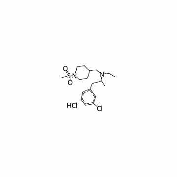 CCN(CC1CCN(S(C)(=O)=O)CC1)C(C)Cc1cccc(Cl)c1.Cl